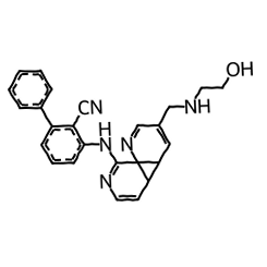 N#Cc1c(NC2=NC=CC3C4C=C(CNCCO)C=NC234)cccc1-c1ccccc1